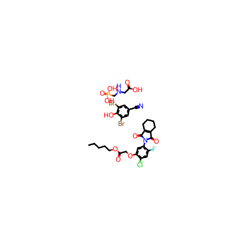 CCCCCOC(=O)COc1cc(N2C(=O)C3=C(CCCC3)C2=O)c(F)cc1Cl.N#Cc1cc(Br)c(O)c(Br)c1.O=C(O)CNCP(=O)(O)O